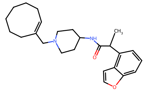 CC(C(=O)NC1CCN(CC2=CCCCCCC2)CC1)c1cccc2occc12